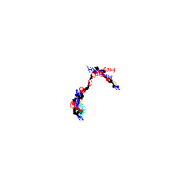 Cc1nc(OCCCCOCCCOCC(=O)N[C@H](C(=O)N2C[C@H](O)C[C@H]2C(=O)NCc2ccc(-c3scnc3C)cc2)C(C)(C)C)ccc1N1C(=S)N(c2ccc(C#N)c(C(F)(F)F)c2F)C(=O)C1(C)C